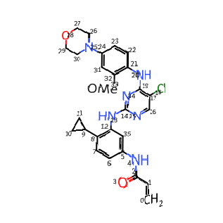 C=CC(=O)Nc1ccc(C2CC2)c(Nc2ncc(Cl)c(Nc3ccc(N4CCOCC4)cc3OC)n2)c1